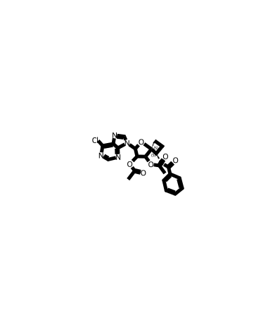 CC(=O)OC1C(n2cnc3c(Cl)ncnc32)O[C@]2(CC[C@@H]2OC(=O)c2ccccc2)C1OC(C)=O